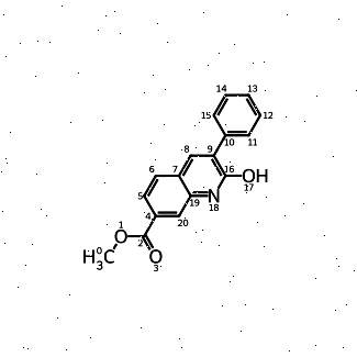 COC(=O)c1ccc2cc(-c3ccccc3)c(O)nc2c1